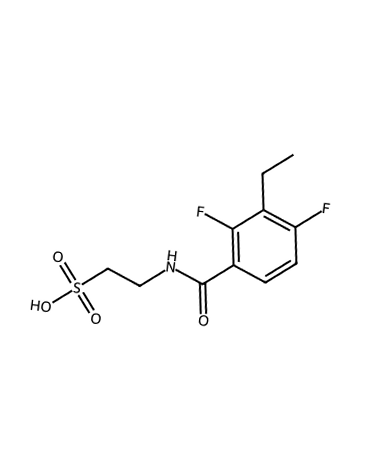 CCc1c(F)ccc(C(=O)NCCS(=O)(=O)O)c1F